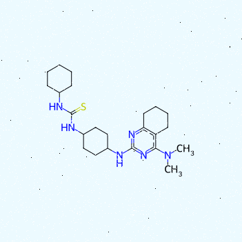 CN(C)c1nc(NC2CCC(NC(=S)NC3CCCCC3)CC2)nc2c1CCCC2